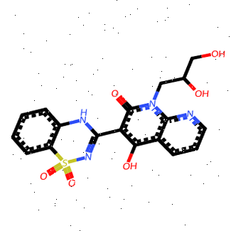 O=c1c(C2=NS(=O)(=O)c3ccccc3N2)c(O)c2cccnc2n1CC(O)CO